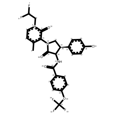 Cc1ccn(CC(F)F)c(=O)c1N1C[C@@H](c2ccc(Cl)cc2)C(NC(=O)c2ccc(OC(F)(F)F)cc2)C1=O